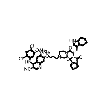 COc1cc(Nc2c(C#N)cnc3cc(OCCCN4CCN(C(=O)[C@H](Cc5c[nH]c6ccccc56)N5C(=O)c6ccccc6C5=O)CC4)c(OC)cc23)c(Cl)cc1Cl